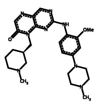 COc1cc(N2CCN(C)CC2)ccc1Nc1ncc2ncc(=O)n(C[C@@H]3CCCN(C)C3)c2n1